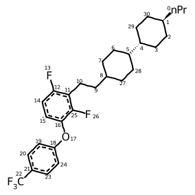 CCC[C@H]1CC[C@H](C2CCC(CCc3c(F)c[c]c(Oc4ccc(C(F)(F)F)cc4)c3F)CC2)CC1